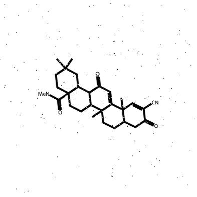 CNC(=O)C12CCC3C(C(=O)C=C4C5(C)C=C(C#N)C(=O)CC5CCC43C)C1CC(C)(C)CC2